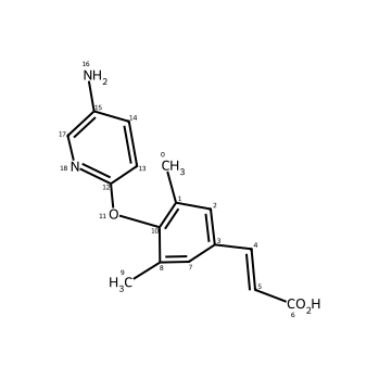 Cc1cc(/C=C/C(=O)O)cc(C)c1Oc1ccc(N)cn1